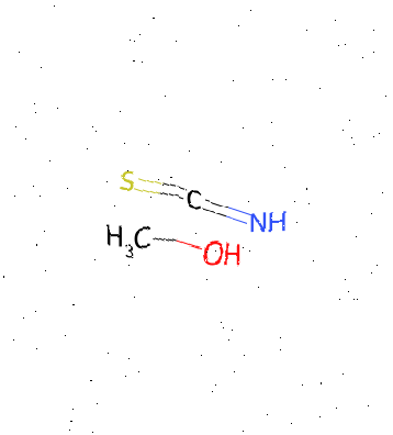 CO.N=C=S